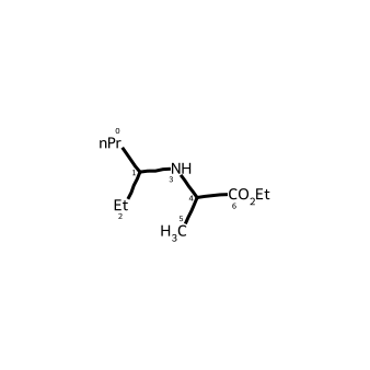 CCCC(CC)NC(C)C(=O)OCC